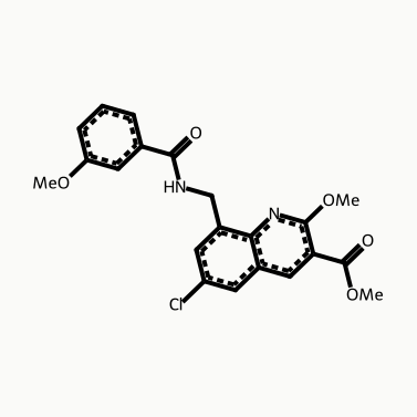 COC(=O)c1cc2cc(Cl)cc(CNC(=O)c3cccc(OC)c3)c2nc1OC